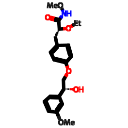 CCO[C@H](Cc1ccc(OC[C@H](O)c2cccc(OC)c2)cc1)C(=O)NOC